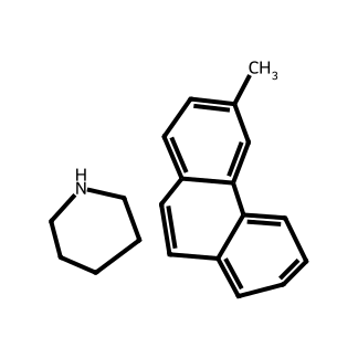 C1CCNCC1.Cc1ccc2ccc3ccccc3c2c1